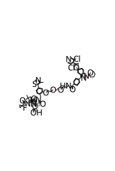 Cc1ncsc1-c1ccc(CNC(=O)[C@@H]2C[C@@H](O)CN2C(=O)[C@@H](NC(=O)C2(F)CC2)C(C)(C)C)c(OCCOCCOCCNC(=O)c2ccc(-c3nn(C4CCCCO4)c4ccc(O[C@H](C)c5c(Cl)cncc5Cl)cc34)cc2)c1